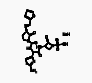 Nc1nc(C(NC(=O)N2CCN(N=Cc3ccco3)C2=O)C(=O)NC2CN(S(=O)(=O)O)C2=O)cs1.[NaH]